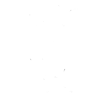 CCn1c(-c2cccnc2[C@H](C)OC)c(CC(C)(C)COC(C)=O)c2cc(-c3cc(O)cc(C[C@H](NC(=O)[C@H](C(C)C)N(C)C(=O)[C@H]4C[C@H](O)C4)C(=O)N4CCCCN4)c3)ccc21